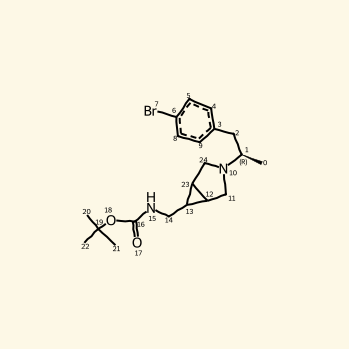 C[C@H](Cc1ccc(Br)cc1)N1CC2C(CNC(=O)OC(C)(C)C)C2C1